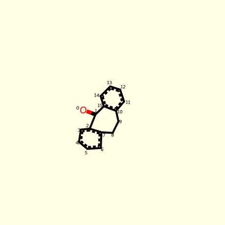 O=C1c2c[c]ccc2CCc2ccccc21